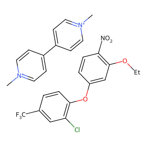 CCOc1cc(Oc2ccc(C(F)(F)F)cc2Cl)ccc1[N+](=O)[O-].C[n+]1ccc(-c2cc[n+](C)cc2)cc1